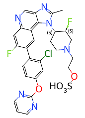 Cc1nc2cnc3cc(F)c(-c4ccc(Oc5ncccn5)cc4Cl)cc3c2n1[C@H]1CCN(CCOS(=O)(=O)O)C[C@@H]1F